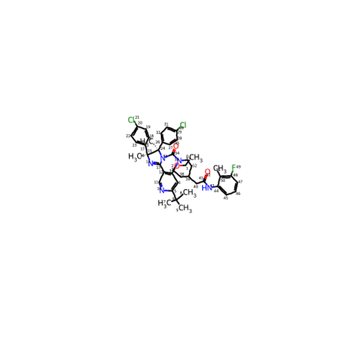 CCOc1cc(C(C)(C)C)ncc1C1=N[C@@](C)(c2ccc(Cl)cc2)[C@@](C)(c2ccc(Cl)cc2)N1C(=O)N1CCC(CC(=O)Nc2cccc(F)c2C)CC1